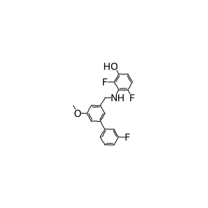 COc1cc(CNc2c(F)ccc(O)c2F)cc(-c2cccc(F)c2)c1